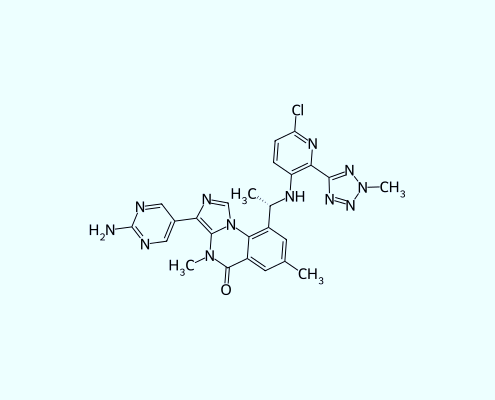 Cc1cc([C@H](C)Nc2ccc(Cl)nc2-c2nnn(C)n2)c2c(c1)c(=O)n(C)c1c(-c3cnc(N)nc3)ncn21